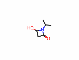 CC(C)N1C(=O)CC1O